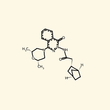 C[C@@H]1CN(c2nn(NC(=O)C[C@H]3C[C@@H]4CC[C@H]3C4)c(=O)c3ccccc23)C[C@H](C)O1